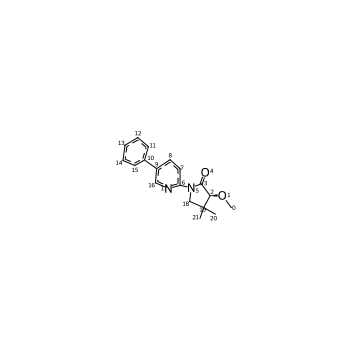 CO[C@@H]1C(=O)N(c2ccc(-c3ccccc3)cn2)CC1(C)C